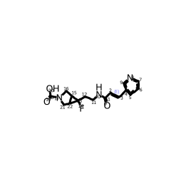 O=C(/C=C/c1cccnc1)NCCC1(F)C2CN(C(=O)O)CC21